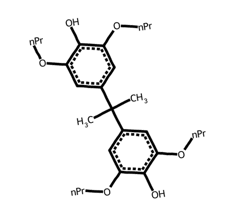 CCCOc1cc(C(C)(C)c2cc(OCCC)c(O)c(OCCC)c2)cc(OCCC)c1O